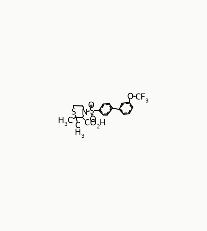 CC1(C)SCCN(S(=O)(=O)c2ccc(-c3cccc(OC(F)(F)F)c3)cc2)[C@H]1C(=O)O